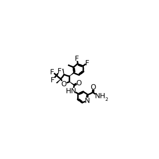 Cc1c([C@H]2[C@@H](C(=O)Nc3ccnc(C(N)=O)c3)O[C@](C)(C(F)(F)F)[C@H]2C)ccc(F)c1F